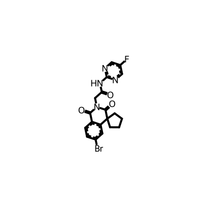 O=C(CN1C(=O)c2ccc(Br)cc2C2(CCCC2)C1=O)Nc1ncc(F)cn1